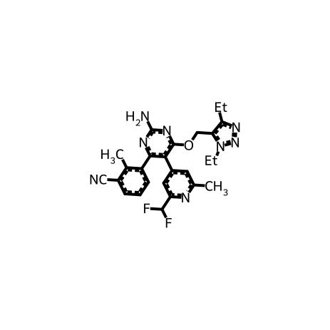 CCc1nnn(CC)c1COc1nc(N)nc(-c2cccc(C#N)c2C)c1-c1cc(C)nc(C(F)F)c1